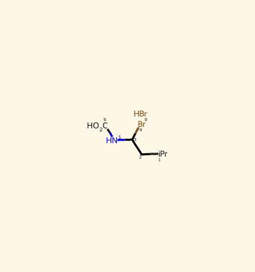 Br.CC(C)CC(Br)NC(=O)O